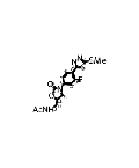 CSc1nnc(-c2ccc(N3CC(CNC(C)=O)OC3=O)cc2F)s1